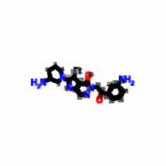 CCC1C(N2CCCC(N)C2)=Nc2cnn(CC(=O)c3cccc(N)c3)c(=O)c21